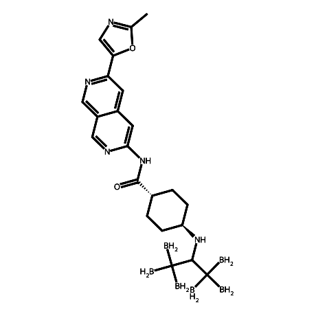 BC(B)(B)C(N[C@H]1CC[C@H](C(=O)Nc2cc3cc(-c4cnc(C)o4)ncc3cn2)CC1)C(B)(B)B